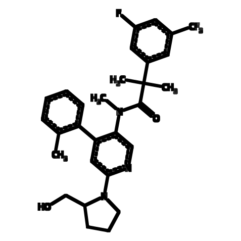 Cc1ccccc1-c1cc(N2CCCC2CO)ncc1N(C)C(=O)C(C)(C)c1cc(F)cc(C(F)(F)F)c1